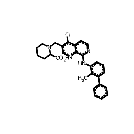 Cc1c(Nc2nccc3c(Cl)c(CN4CCCCC4C(=O)O)cnc23)cccc1-c1ccccc1